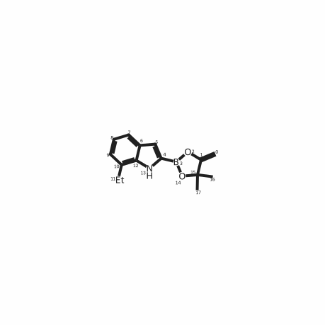 C=C1OB(c2cc3cccc(CC)c3[nH]2)OC1(C)C